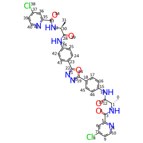 C[C@H](NC(=O)c1cc(Cl)ccn1)C(=O)Nc1ccc(-c2nnc(-c3ccc(NC(=O)[C@H](C)NC(=O)c4cc(Cl)ccn4)cc3)o2)cc1